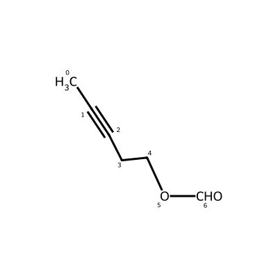 CC#CCCOC=O